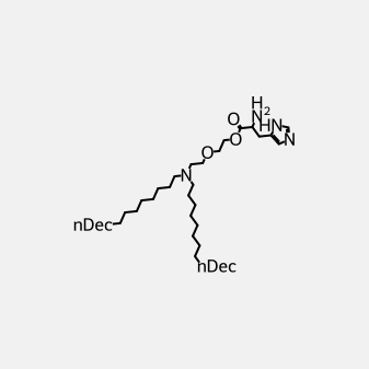 CCCCCCCCCCCCCCCCCCN(CCCCCCCCCCCCCCCCCC)CCOCCOC(=O)C(N)Cc1cnc[nH]1